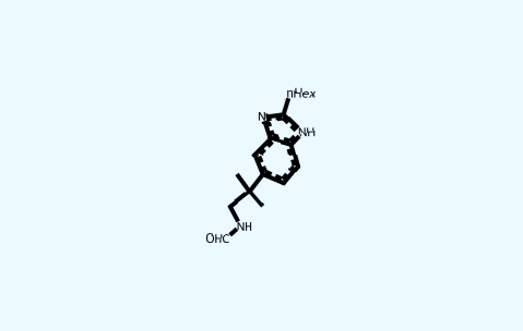 CCCCCCc1nc2cc(C(C)(C)CNC=O)ccc2[nH]1